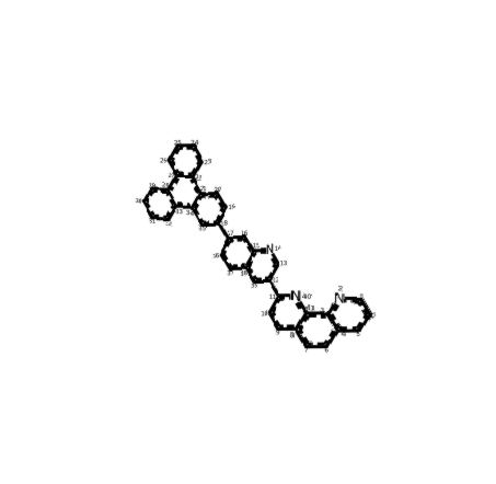 c1cnc2c(c1)ccc1ccc(-c3cnc4cc(-c5ccc6c7ccccc7c7ccccc7c6c5)ccc4c3)nc12